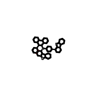 c1ccc(-c2c(N(c3ccc(-c4cccc5c4sc4ccccc45)cc3)c3cccc4oc5ccccc5c34)c3ccccc3c3ccccc23)cc1